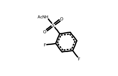 CC(=O)NS(=O)(=O)c1ccc(F)cc1F